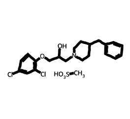 CS(=O)(=O)O.OC(COc1ccc(Cl)cc1Cl)CN1CCC(Cc2ccccc2)CC1